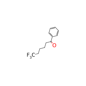 O=C(CCCCC(F)(F)F)c1ccccc1